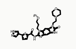 CC(C)OCCCn1c(NC(=O)c2ccc(-c3cn[nH]c3)s2)nc2cc3[nH]c(=O)n(CCN4CCOCC4)c3cc21